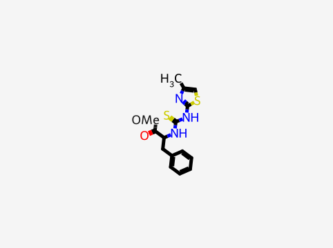 COC(=O)C(Cc1ccccc1)NC(=S)Nc1nc(C)cs1